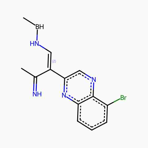 CBN/C=C(\C(C)=N)c1cnc2c(Br)cccc2n1